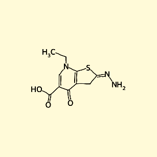 CCn1cc(C(=O)O)c(=O)c2c1S/C(=N/N)C2